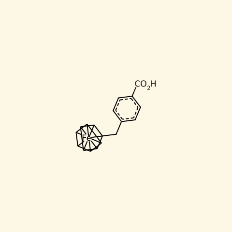 O=C(O)c1ccc(C[C]23[CH]4[CH]5[CH]6[CH]2[Fe]56432789[CH]3[CH]2[CH]7[CH]8[CH]39)cc1